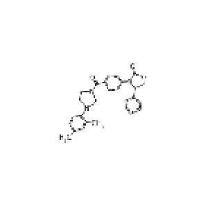 Cc1ccc(N2CCN(C(=O)c3ccc(N4C(=O)OCC4c4ccccc4)cc3)CC2)c(C)c1